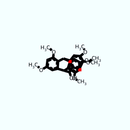 COc1cc(OC)c2c(c1)C1c3cc(OC)c(OC)cc3C(O)C2c2cc(OC)cc(OC)c21